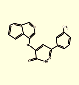 Cc1cccc(-c2cc(Nc3cncc4ccccc34)c(=O)[nH]n2)c1